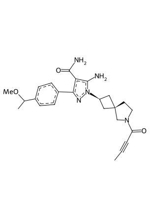 CC#CC(=O)N1CC[C@]2(C1)C[C@H](n1nc(-c3ccc(C(C)OC)cc3)c(C(N)=O)c1N)C2